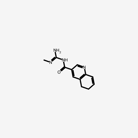 CN=C(N)NC(=O)c1cnc2c(c1)CCC=C2